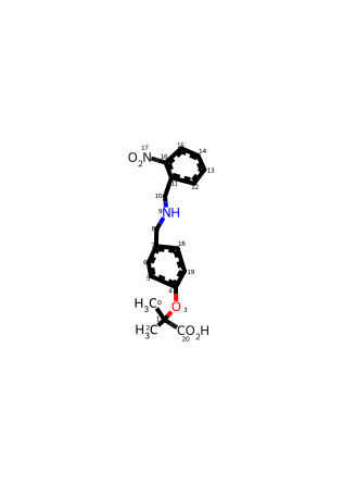 CC(C)(Oc1ccc(CNCc2ccccc2[N+](=O)[O-])cc1)C(=O)O